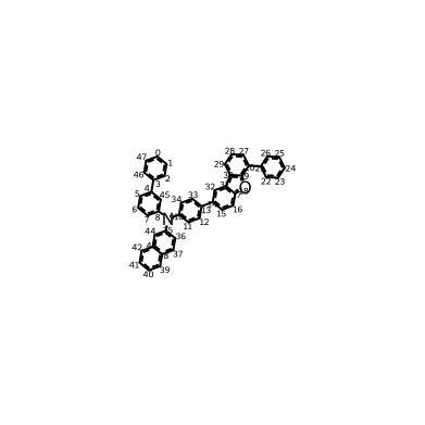 c1ccc(-c2cccc(N(c3ccc(-c4ccc5oc6c(-c7ccccc7)cccc6c5c4)cc3)c3ccc4ccccc4c3)c2)cc1